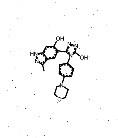 Cc1n[nH]c2cc(O)c(-c3nnc(O)n3-c3ccc(N4CCOCC4)cc3)cc12